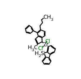 CCCCc1ccc2c(c1-c1ccccc1)C=C(C)[CH]2[Zr]([Cl])([Cl])[c]1cccc2c1[SiH2]c1ccccc1-2